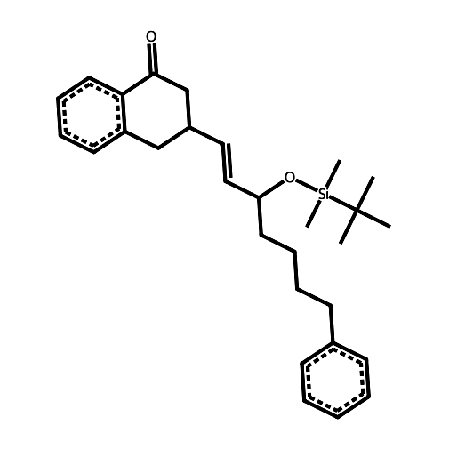 CC(C)(C)[Si](C)(C)OC(C=CC1CC(=O)c2ccccc2C1)CCCCc1ccccc1